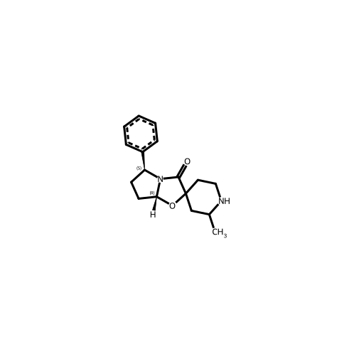 CC1CC2(CCN1)O[C@@H]1CC[C@@H](c3ccccc3)N1C2=O